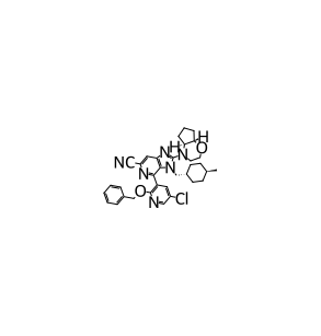 C[C@H]1CC[C@H](Cn2c(N3CCO[C@H]4CCC[C@@H]43)nc3cc(C#N)nc(-c4cc(Cl)cnc4OCc4ccccc4)c32)CC1